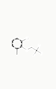 Cc1c[c]cc(Cl)c1SCC(F)(F)F